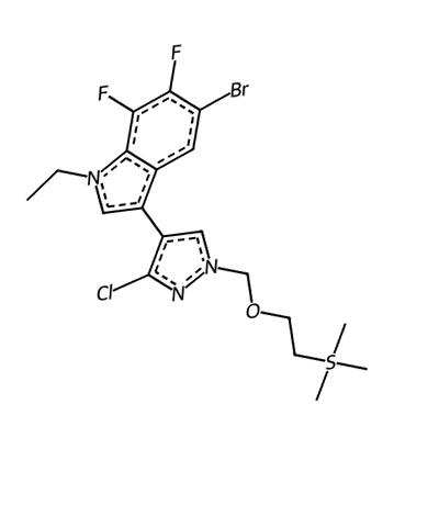 CCn1cc(-c2cn(COCCS(C)(C)C)nc2Cl)c2cc(Br)c(F)c(F)c21